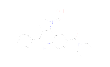 CCN(CC)C(=O)c1ccc2c(c1)C1C(CCN1C(=O)O)C(c1ccccc1)N2